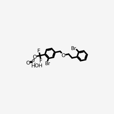 O=[PH](O)OC(F)(F)c1ccc(COCCc2ccccc2Br)cc1Br